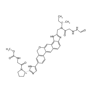 CC[C@H](C)N(Cc1nc2ccc3cc4c(cc3c2[nH]1)OCc1cc(-c2cnc([C@@H]3CCCN3C(=O)CNC(=O)OC)[nH]2)ccc1-4)C(=O)CNPC=O